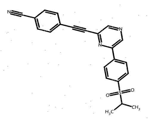 CC(C)S(=O)(=O)c1ccc(-c2cncc(C#Cc3ccc(C#N)cc3)n2)cc1